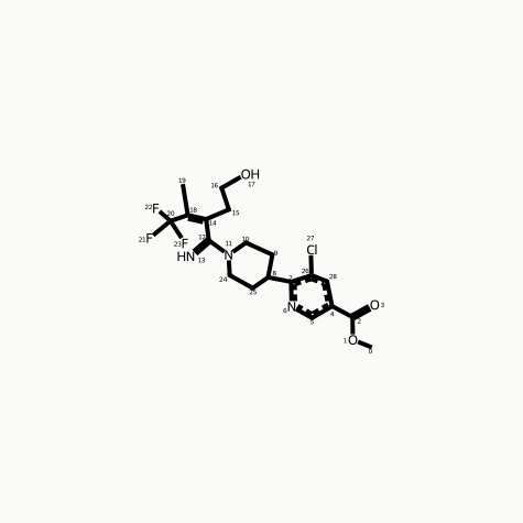 COC(=O)c1cnc(C2CCN(C(=N)/C(CCO)=C(/C)C(F)(F)F)CC2)c(Cl)c1